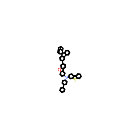 c1ccc(-c2ccc(N(c3ccc4c(c3)sc3ccccc34)c3ccc4oc5cc(-c6ccc7c(c6)-c6ccccc6C76C7CC8CC(C7)CC6C8)ccc5c4c3)cc2)cc1